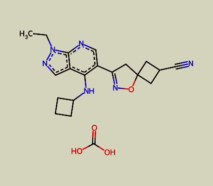 CCn1ncc2c(NC3CCC3)c(C3=NOC4(C3)CC(C#N)C4)cnc21.O=C(O)O